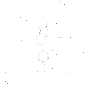 CC(C)Cn1c(=O)[nH]c2ncc(-c3ccc(O)cc3)nc21